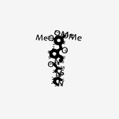 COc1cc(C(=O)c2cccc3c2ccn3C(=O)C2CSN(c3cccnc3)C2)cc(OC)c1OC